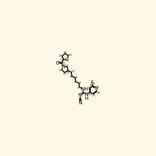 N#C/N=C(/NCCCCCCC1CCN(C(=O)C2CCCS2)C1)Nc1ccnc(F)c1